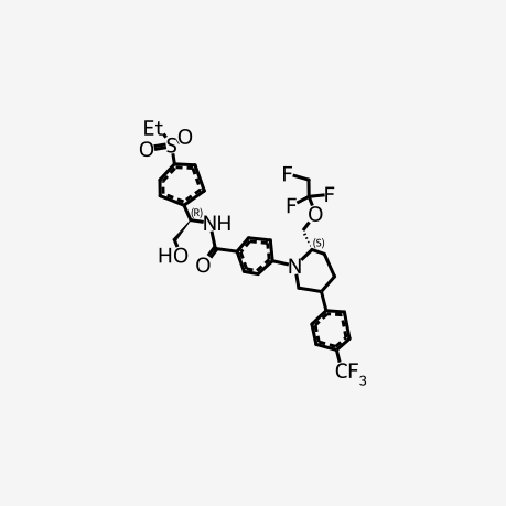 CCS(=O)(=O)c1ccc([C@H](CO)NC(=O)c2ccc(N3CC(c4ccc(C(F)(F)F)cc4)CC[C@H]3COC(F)(F)CF)cc2)cc1